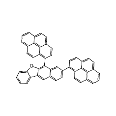 c1cc2ccc3ccc(-c4ccc5cc6c(oc7ccccc76)c(-c6ccc7ccc8cccc9ccc6c7c89)c5c4)c4ccc(c1)c2c34